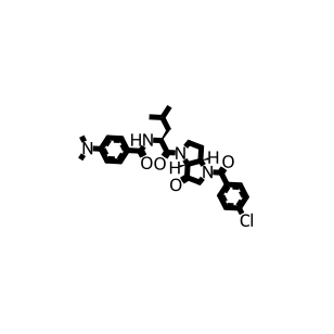 CC(C)C[C@H](NC(=O)c1ccc(N(C)C)cc1)C(=O)N1CC[C@@H]2[C@H]1C(=O)CN2C(=O)c1ccc(Cl)cc1